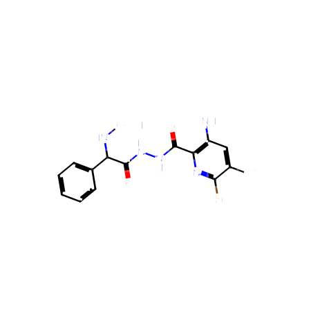 Nc1cc(C(F)(F)F)c(Br)nc1C(=O)NNC(=O)C(NC(=O)O)c1ccccc1